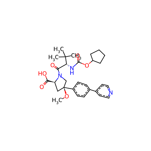 CO[C@@]1(c2ccc(-c3ccncc3)cc2)C[C@@H](C(=O)O)N(C(=O)[C@@H](NC(=O)OC2CCCC2)C(C)(C)C)C1